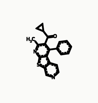 Cc1nc2sc3cnccc3c2c(-c2ccccc2)c1C(=O)C1CC1